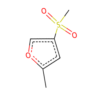 Cc1cc(S(C)(=O)=O)co1